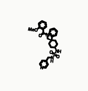 COc1ccccc1C(=O)NC[C@]1(c2ccccc2)CC[C@H](NS(=O)(=O)NCc2ccncc2)CC1